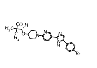 CC(C)(COC1CCN(c2ccc(-c3ncc(-c4ccc(Br)cc4)[nH]3)cn2)CC1)C(=O)O